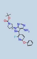 CC(C)(C)OC(=O)N1CC[C@H](n2nc(-c3ccc(Oc4ccccc4)nc3F)c3c(N)ncnc32)C1